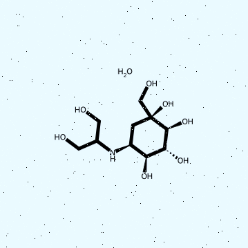 O.OCC(CO)N[C@H]1C[C@](O)(CO)[C@@H](O)[C@H](O)[C@H]1O